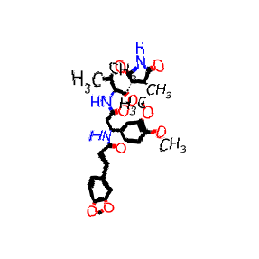 COc1ccc(C(CC(=O)N[C@H](C(=O)[C@@H]2C(=O)NC(=O)[C@H]2C)C(C)C)NC(=O)/C=C/c2ccc3c(c2)OCO3)cc1OC